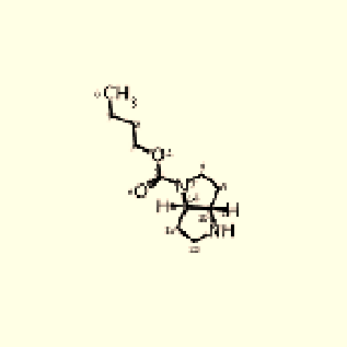 CCCCOC(=O)N1CC[C@@H]2NCC[C@@H]21